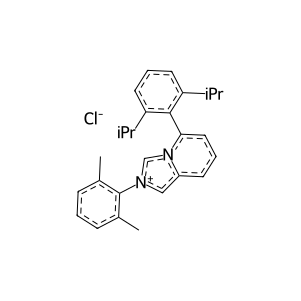 Cc1cccc(C)c1-[n+]1cc2cccc(-c3c(C(C)C)cccc3C(C)C)n2c1.[Cl-]